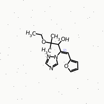 CCOC(C)(C)C(O)/C(=C/c1ccco1)n1cncn1